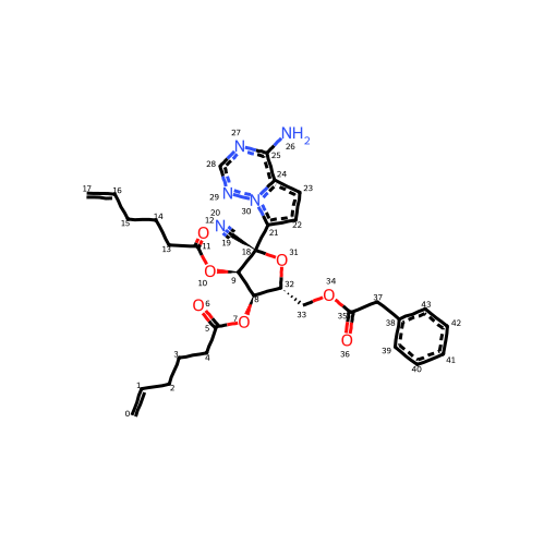 C=CCCCC(=O)O[C@H]1[C@@H](OC(=O)CCCC=C)[C@](C#N)(c2ccc3c(N)ncnn23)O[C@@H]1COC(=O)Cc1ccccc1